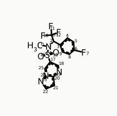 CN([C@H](c1ccc(F)cc1)C(F)(F)F)S(=O)(=O)c1cnc2ccnn2c1